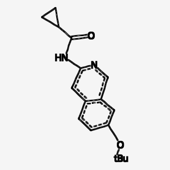 CC(C)(C)Oc1ccc2cc(NC(=O)C3CC3)ncc2c1